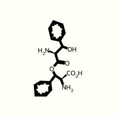 N[C@H](C(=O)OC(c1ccccc1)[C@H](N)C(=O)O)C(O)c1ccccc1